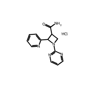 Cl.NC(=O)C1CN(c2ncccn2)C1c1ccccn1